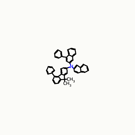 CC1(C)c2cc(N(c3ccc4ccccc4c3)c3cc(-c4ccccc4)c4ccccc4c3)ccc2-c2c(-c3ccccc3)cccc21